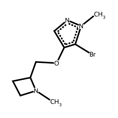 CN1CCC1COc1cnn(C)c1Br